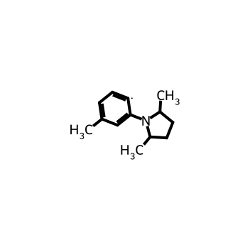 Cc1cc[c]c(N2C(C)CCC2C)c1